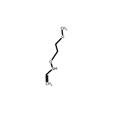 C=C[SiH]OCCOC